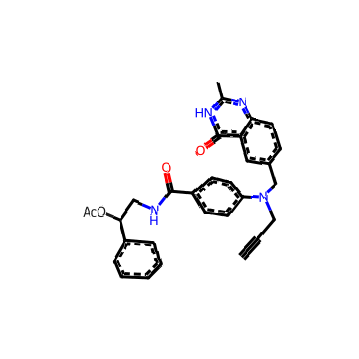 C#CCN(Cc1ccc2nc(C)[nH]c(=O)c2c1)c1ccc(C(=O)NCC(OC(C)=O)c2ccccc2)cc1